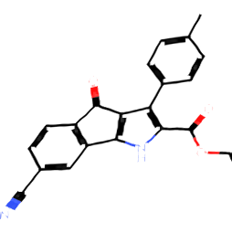 CCOC(=O)c1[nH]c2c(c1-c1ccc(C)cc1)C(=O)c1ccc(C#N)cc1-2